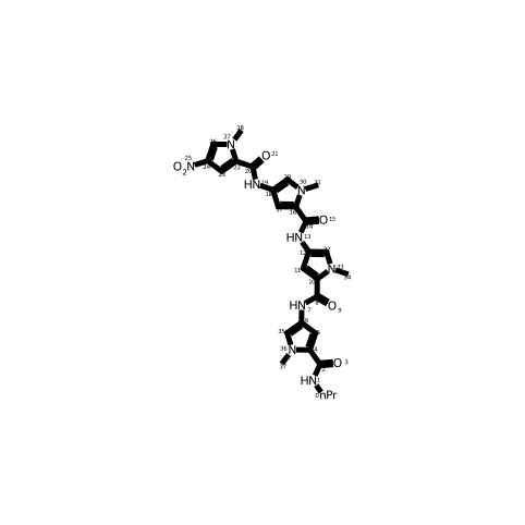 [CH2]CCNC(=O)c1cc(NC(=O)c2cc(NC(=O)c3cc(NC(=O)c4cc([N+](=O)[O-])cn4C)cn3C)cn2C)cn1C